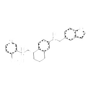 O=C(O)c1ccncc1NC[C@@H]1CCCc2cc(NCc3ccc4occc4c3)ccc21